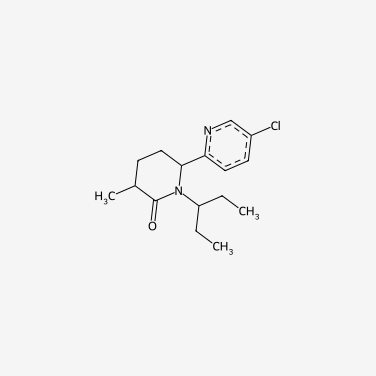 CCC(CC)N1C(=O)C(C)CCC1c1ccc(Cl)cn1